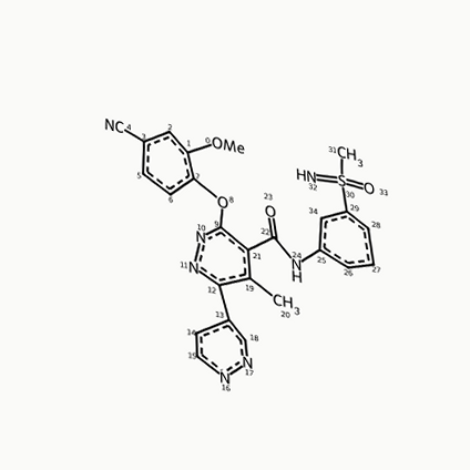 COc1cc(C#N)ccc1Oc1nnc(-c2ccnnc2)c(C)c1C(=O)Nc1cccc(S(C)(=N)=O)c1